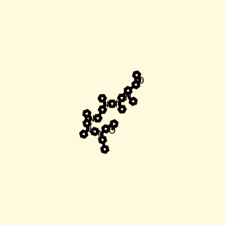 c1ccc(-c2ccc(N(c3ccc(N(c4ccccc4)c4ccc5c6ccccc6n(-c6cccc(-c7ccc(N(c8ccccc8)c8ccc(N(c9ccccc9)c9ccc%10c%11ccc(-c%12ccc%13oc%14ccccc%14c%13c%12)cc%11n(-c%11ccccc%11)c%10c9)cc8)cc7)c6)c5c4)cc3)c3ccc4c(c3)oc3ccccc34)cc2)cc1